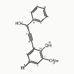 CCc1cc(C#CC(O)c2ccccc2)c(O)c(OC)c1